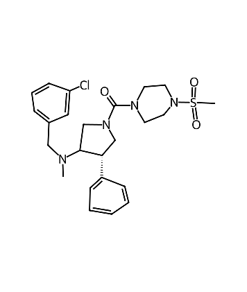 CN(Cc1cccc(Cl)c1)C1CN(C(=O)N2CCN(S(C)(=O)=O)CC2)C[C@@H]1c1ccccc1